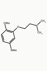 CNc1ccc(OC)c(OCCN(C)C)c1